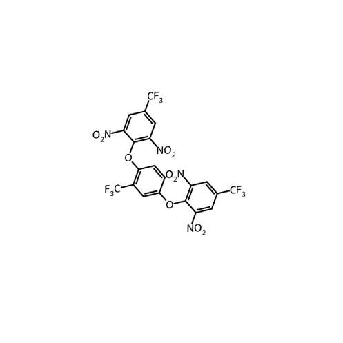 O=[N+]([O-])c1cc(C(F)(F)F)cc([N+](=O)[O-])c1Oc1ccc(Oc2c([N+](=O)[O-])cc(C(F)(F)F)cc2[N+](=O)[O-])c(C(F)(F)F)c1